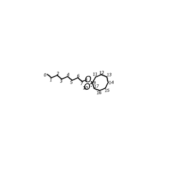 CCCCCCCCOC1([O])CCCCCCC1